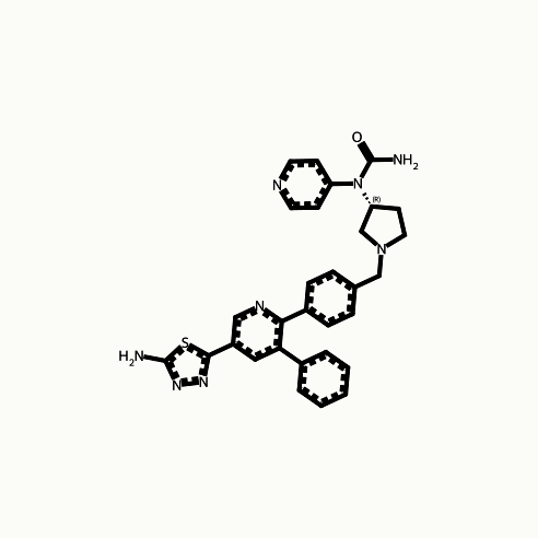 NC(=O)N(c1ccncc1)[C@@H]1CCN(Cc2ccc(-c3ncc(-c4nnc(N)s4)cc3-c3ccccc3)cc2)C1